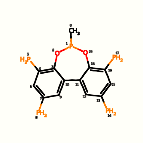 Cp1oc2c(P)cc(P)cc2c2cc(P)cc(P)c2o1